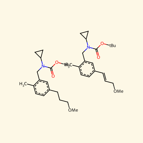 COC/C=C/c1ccc(C)c(CN(C(=O)OC(C)(C)C)C2CC2)c1.COCCCc1ccc(C)c(CN(C(=O)OC(C)(C)C)C2CC2)c1